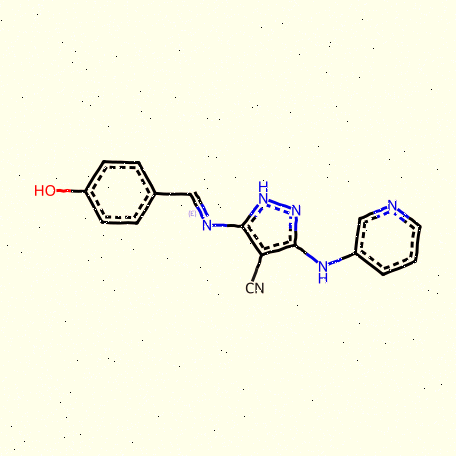 N#Cc1c(Nc2cccnc2)n[nH]c1/N=C/c1ccc(O)cc1